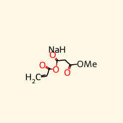 C=CC(=O)OC(=O)CC(=O)OC.[NaH]